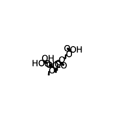 C=CF.CCOC(=O)OCC.O=C(O)O.O=C(O)OCCOC(=O)O